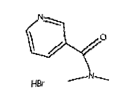 Br.CN(C)C(=O)c1cccnc1